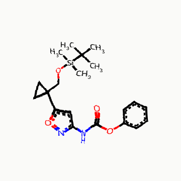 CC(C)(C)[Si](C)(C)OCC1(c2cc(NC(=O)Oc3ccccc3)no2)CC1